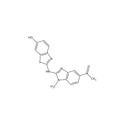 CC(=O)c1ccc2c(c1)nc(Nc1nc3ccc(O)cc3s1)n2C